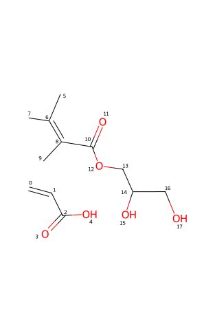 C=CC(=O)O.CC(C)=C(C)C(=O)OCC(O)CO